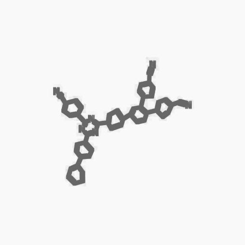 N#Cc1ccc(-c2nc(-c3ccc(-c4ccccc4)cc3)nc(-c3ccc(-c4ccc(-c5ccc(C#N)cc5)c(-c5ccc(C#N)cc5)c4)cc3)n2)cc1